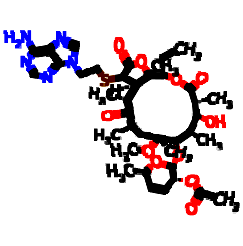 CC[C@H]1OC(=O)[C@H](C)[C@@H](O)[C@H](C)[C@@H](O[C@@H]2O[C@H](C)C=C[C@H]2OC(C)=O)[C@](C)(OC)C[C@@H](C)C(=O)[C@H](C)[C@H]2C(SCCn3cnc4c(N)ncnc43)C(=O)O[C@@]21C